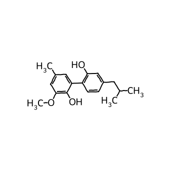 COc1cc(C)cc(-c2ccc(CC(C)C)cc2O)c1O